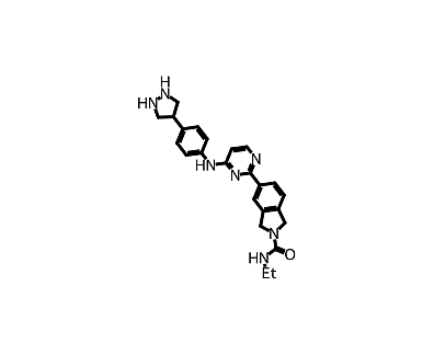 CCNC(=O)N1Cc2ccc(-c3nccc(Nc4ccc(C5CNNC5)cc4)n3)cc2C1